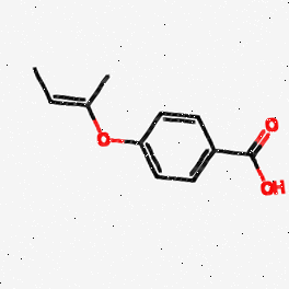 C/C=C(\C)Oc1ccc(C(=O)O)cc1